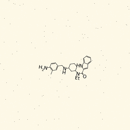 CCN(C(=O)c1cc2ccccc2[nH]1)C1CCCC(NCc2ccc(N)c(C)c2)C1